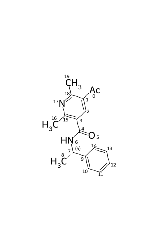 CC(=O)c1cc(C(=O)N[C@@H](C)c2ccccc2)c(C)nc1C